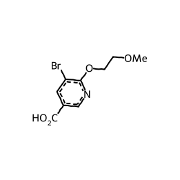 COCCOc1ncc(C(=O)O)cc1Br